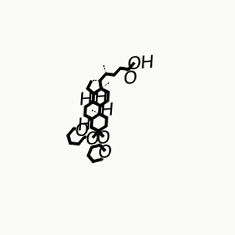 C[C@H](CCC(=O)O)[C@H]1CC[C@H]2[C@@H]3CC[C@@H]4CC(OC5CCCCO5)(OC5CCCCO5)CC[C@]4(C)[C@H]3CC[C@]12C